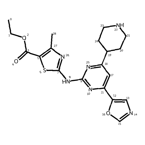 CCOC(=O)c1sc(Nc2nc(-c3cnco3)cc(C3CCNCC3)n2)nc1C